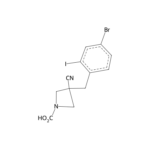 N#CC1(Cc2ccc(Br)cc2I)CN(C(=O)O)C1